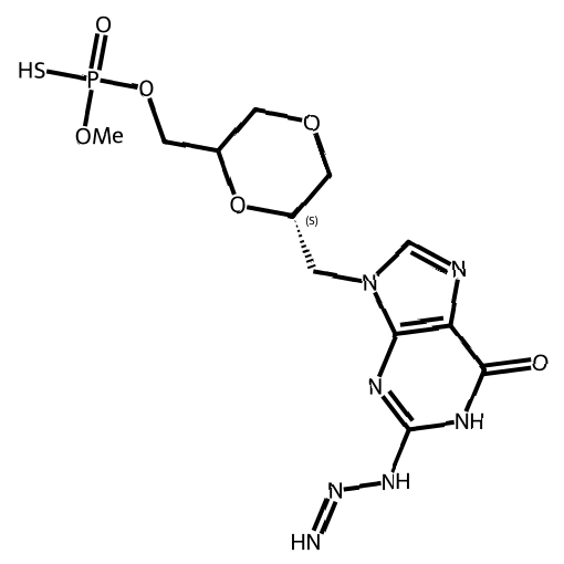 COP(=O)(S)OCC1COC[C@H](Cn2cnc3c(=O)[nH]c(NN=N)nc32)O1